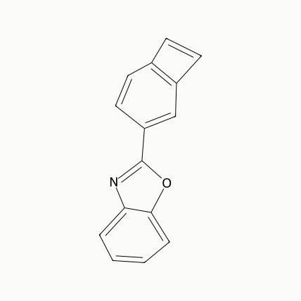 C1=Cc2cc(-c3nc4ccccc4o3)ccc21